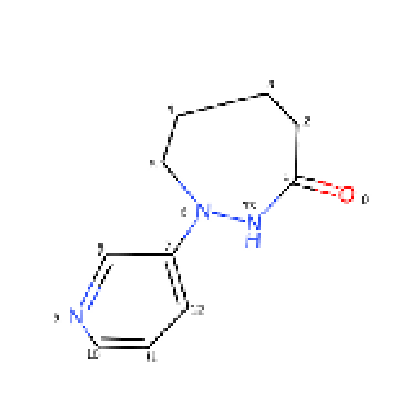 O=C1CCCCN(c2[c]nccc2)N1